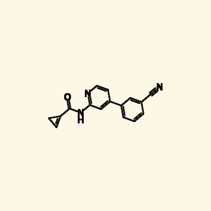 N#Cc1cccc(-c2ccnc(NC(=O)C3=CC3)c2)c1